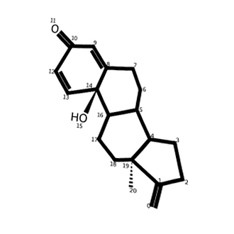 C=C1CCC2C3CCC4=CC(=O)C=C[C@@]4(O)C3CC[C@]12C